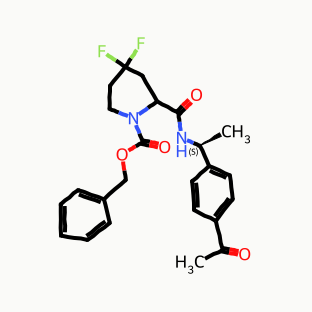 CC(=O)c1ccc([C@H](C)NC(=O)C2CC(F)(F)CCN2C(=O)OCc2ccccc2)cc1